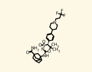 CC1(C)OC(NC23CC4CC2CC(C(N)=O)(C4)C3)=NS(=O)(=O)[C@H]1c1ccc(C2CCN(CCC(F)(F)F)CC2)cc1